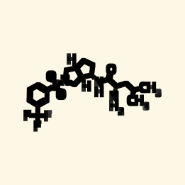 CC(C)C[C@H](N)C(=O)N[C@H]1CC[C@@H]2CN(S(=O)(=O)c3cccc(C(F)(F)F)c3)C[C@@H]21